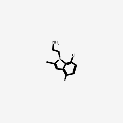 Cc1cc2c(F)ccc(Cl)c2n1CCN